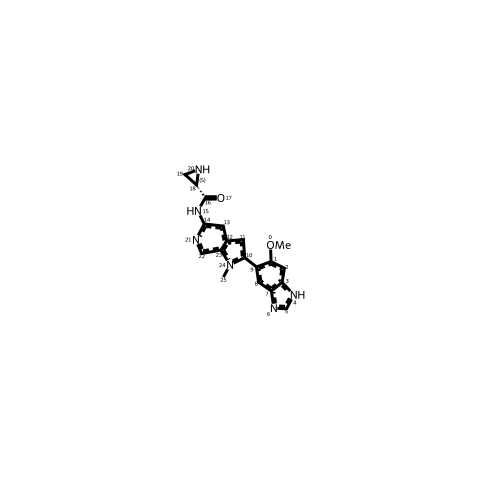 COc1cc2[nH]cnc2cc1-c1cc2cc(NC(=O)[C@@H]3CN3)ncc2n1C